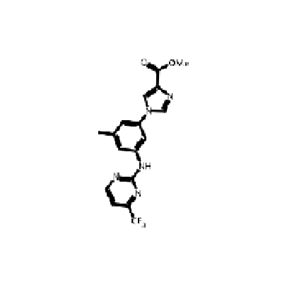 COC(=O)c1cn(-c2cc(C)cc(Nc3nccc(C(F)(F)F)n3)c2)cn1